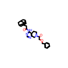 O=C(CC12CC3CC(CC(C3)C1)C2)Nc1ncnc2c1CCN(C(=O)COCc1ccccc1)C2